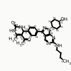 CCCCNc1ncc2c(-c3ccc(C4NC(=O)NC(C)=C4C(C)=O)cc3)nn([C@H]3CC[C@H](O)CC3)c2n1